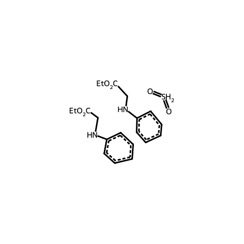 CCOC(=O)CNc1ccccc1.CCOC(=O)CNc1ccccc1.O=[SH2]=O